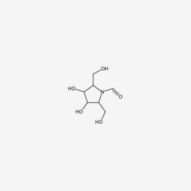 O=CN1C(CO)C(O)C(O)C1CO